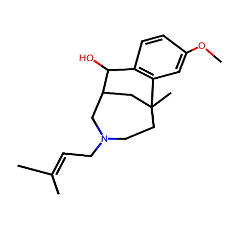 COc1ccc2c(c1)C1(C)CCN(CC=C(C)C)CC(C1)C2O